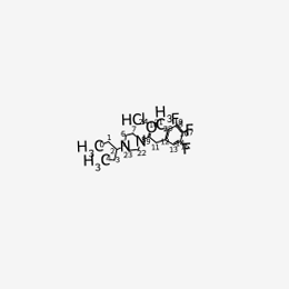 CCC(CC)N1CCN(C(=O)Cc2cc(F)c(F)c(F)c2C)CC1.Cl